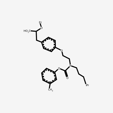 CCOC(Cc1ccc(OCCN(CCCC(C)C)C(=O)Oc2cccc(C)c2)cc1)C(=O)O